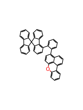 c1ccc2c(c1)Oc1ccc(-c3ccccc3-c3cccc4c3-c3ccccc3C43c4ccccc4-c4ccccc43)c3cccc-2c13